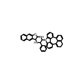 C1=C2c3c(cccc3-c3cccc4c3c3c2cccc3n4C2NC3Oc4cc5ccccc5cc4C3NC2c2ccccc2)CC1